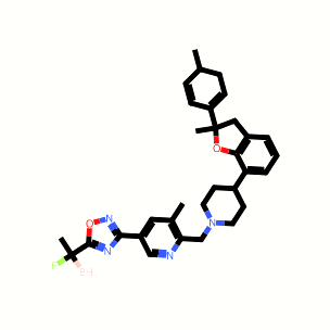 BC(C)(F)c1nc(-c2cnc(CN3CCC(c4cccc5c4OC(C)(C4=CCC(C)C=C4)C5)CC3)c(C)c2)no1